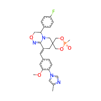 COc1cc(/C=C2\CC3(COP(C)(=O)OC3)CN3C2=NOCC3c2ccc(F)cc2)ccc1-n1cnc(C)c1